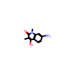 Cc1c(O)c2ccc(N)cc2n(C)c1=O